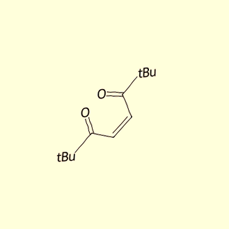 CC(C)(C)C(=O)/C=C\C(=O)C(C)(C)C